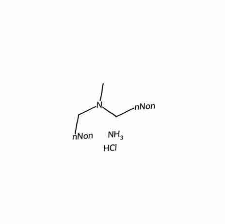 CCCCCCCCCCN(C)CCCCCCCCCC.Cl.N